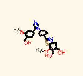 COc1cc(-c2cncn2-c2ccc(-c3nc4cc(CO)c(CO)c(OC)c4s3)cc2)ccc1CO